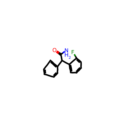 NC(=O)C(c1ccccc1)c1ccccc1F